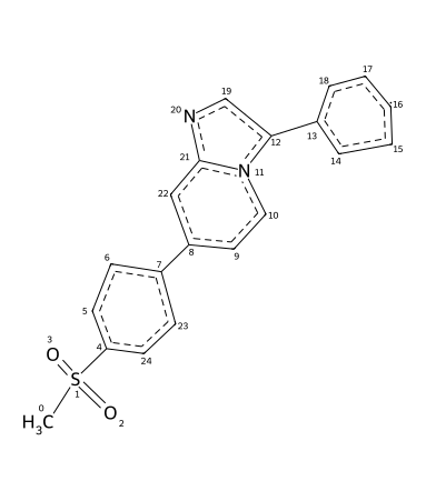 CS(=O)(=O)c1ccc(-c2ccn3c(-c4cc[c]cc4)cnc3c2)cc1